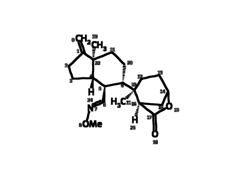 C=C1CC[C@H]2[C@H](/C=N/OC)[C@@H]([C@@]3(C)CCC4C[C@H]3C(=O)O4)CC[C@]12C